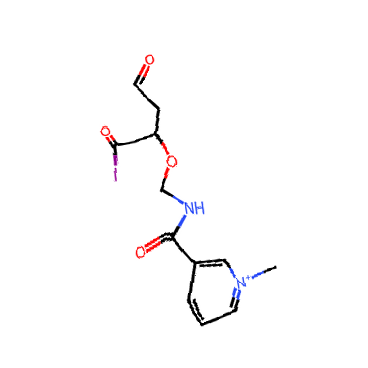 C[n+]1cccc(C(=O)NCOC(CC=O)C(=O)I)c1